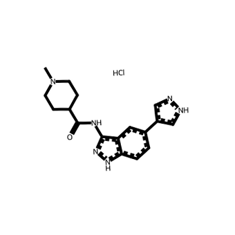 CN1CCC(C(=O)Nc2n[nH]c3ccc(-c4cn[nH]c4)cc23)CC1.Cl